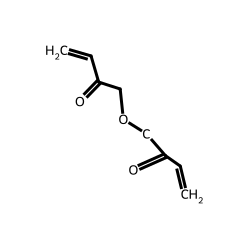 C=CC(=O)COCC(=O)C=C